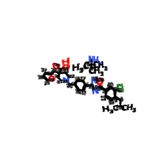 CC(C)(C)N.CC(C)Cc1ccc(-c2nc(-c3ccc(CN4CCC(Cc5ccco5)(C(=O)O)CC4)cc3)no2)cc1Cl